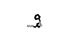 CNCc1cnn(Cc2ccccc2)c1